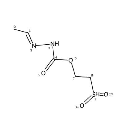 C/C=N/NC(=O)OCC[SH](=O)=O